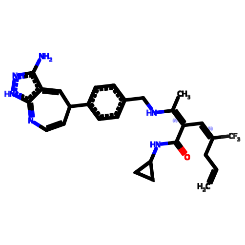 C=CC/C(=C\C(C(=O)NC1CC1)=C(/C)NCc1ccc(C2C=CN=c3[nH]nc(N)c3=C2)cc1)C(F)(F)F